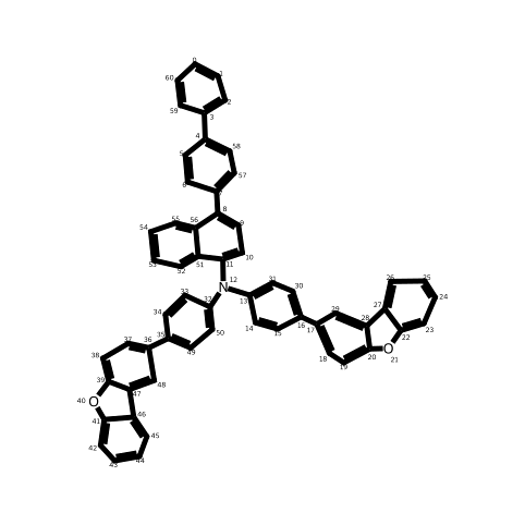 c1ccc(-c2ccc(-c3ccc(N(c4ccc(-c5ccc6oc7ccccc7c6c5)cc4)c4ccc(-c5ccc6oc7ccccc7c6c5)cc4)c4ccccc34)cc2)cc1